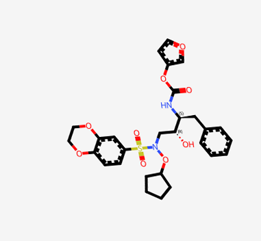 O=C(N[C@@H](Cc1ccccc1)[C@H](O)CN(OC1CCCC1)S(=O)(=O)c1ccc2c(c1)OCCO2)Oc1ccoc1